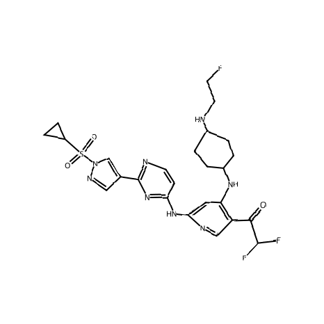 O=C(c1cnc(Nc2ccnc(-c3cnn(S(=O)(=O)C4CC4)c3)n2)cc1NC1CCC(NCCF)CC1)C(F)F